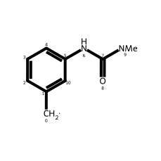 [CH2]c1cccc(NC(=O)NC)c1